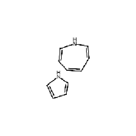 C1=CC=CNC=C1.c1cc[nH]c1